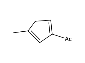 CC(=O)C1=CCC(C)=C1